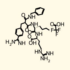 CCCC[C@@H](NC(=O)C(Cc1ccc(C(=N)N)cc1)C(=O)NCc1ccccc1)C(=O)N[C@@H](CCCNC(=N)N)C(=O)O.O=C(O)C(F)(F)F